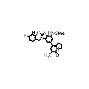 CSNc1cc(-c2cc(C)c(=O)n3c2CCC3)cc2c1nc(C)n2Cc1ccc(F)cc1